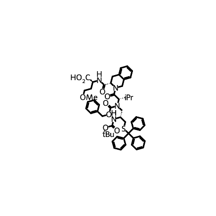 COCC[C@H](NC(=O)[C@@H]1Cc2ccccc2CN1C(=O)[C@H](C(C)C)N(C[C@H](CSC(c1ccccc1)(c1ccccc1)c1ccccc1)NC(=O)OC(C)(C)C)C(=O)OCc1ccccc1)C(=O)O